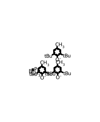 CCCC.Cc1cc(C(C)(C)C)c([O-])c(C(C)(C)C)c1.Cc1cc(C(C)(C)C)c([O-])c(C(C)(C)C)c1.Cc1cc(C(C)(C)C)c([O-])c(C(C)(C)C)c1.[B+3]